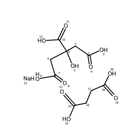 O=C(O)CC(O)(CC(=O)O)C(=O)O.O=C(O)CCC(=O)O.[NaH]